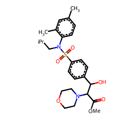 COC(=O)C(C(O)c1ccc(S(=O)(=O)N(CC(C)C)c2ccc(C)cc2C)cc1)N1CCOCC1